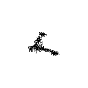 CCC(C)(C)C(=O)OCc1ccc(NC(=O)[C@H](CCCNC(N)=O)NC(=O)[C@@H](NC(=O)NCCOCCOCCn2cc(C(C)(C)C)nn2)C(C)C)cc1